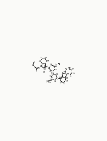 C=CC1=CC1c1c2c(n(C3=CC(c4cc(C#N)cc(-c5cccc6c7c(sc56)CN=CC=C7)c4)CC(C#N)=C3)c1C)C=CCC2